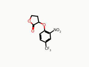 O=C1OCCC1Oc1ccc(C(F)(F)F)cc1[N+](=O)[O-]